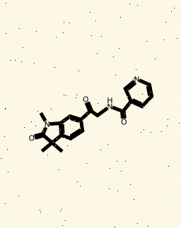 CN1C(=O)C(C)(C)c2ccc(C(=O)CNC(=O)c3cccnc3)cc21